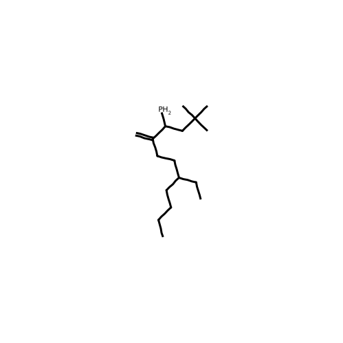 C=C(CCC(CC)CCCC)C(P)CC(C)(C)C